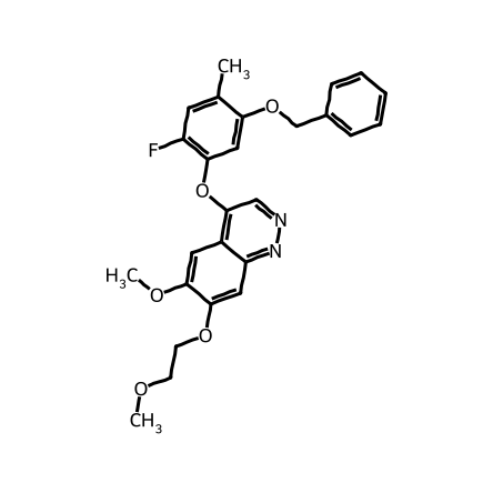 COCCOc1cc2nncc(Oc3cc(OCc4ccccc4)c(C)cc3F)c2cc1OC